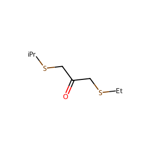 CCSCC(=O)CSC(C)C